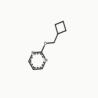 c1cnc(OC[C]2CCC2)nc1